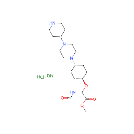 COC(=O)C(NC=O)O[C@H]1CC[C@H](N2CCN(C3CCNCC3)CC2)CC1.Cl.Cl